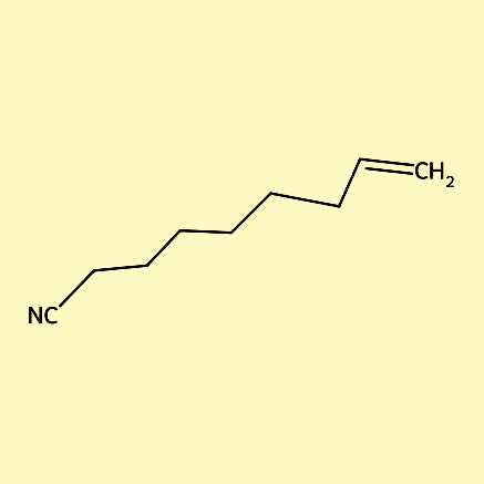 C=CCCCCCCC#N